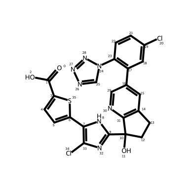 O=C(O)c1ccc(-c2[nH]c(C3(O)CCc4cc(-c5cc(Cl)ccc5-n5cnnn5)cnc43)nc2Cl)s1